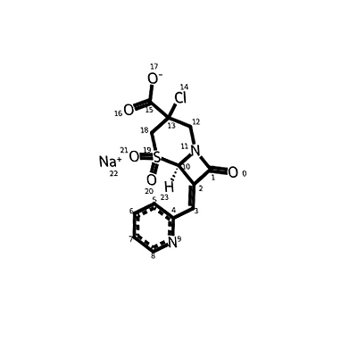 O=C1C(=Cc2ccccn2)[C@@H]2N1CC(Cl)(C(=O)[O-])CS2(=O)=O.[Na+]